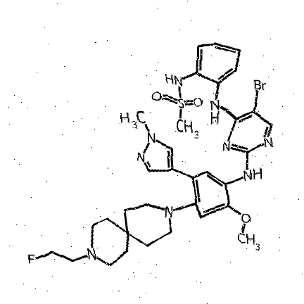 COc1cc(N2CCC3(CCN(CCF)CC3)CC2)c(-c2cnn(C)c2)cc1Nc1ncc(Br)c(Nc2ccccc2NS(C)(=O)=O)n1